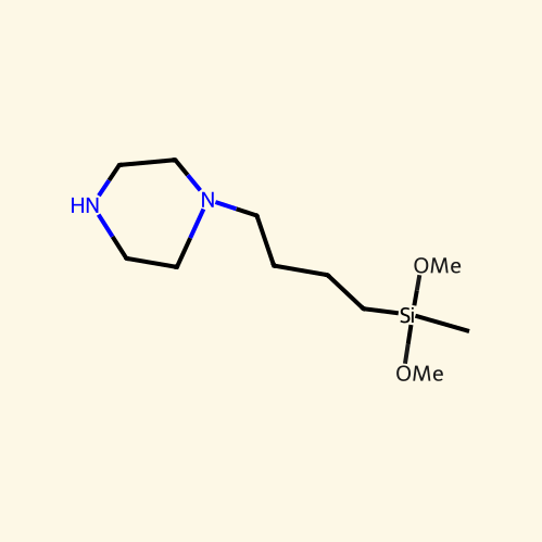 CO[Si](C)(CCCCN1CCNCC1)OC